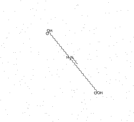 CCCCCN.O=C(O)CCCCCCCCCCCCCCCCCCCCCCCCCCCCCCCCCCCCCCCCCCCC(=O)O